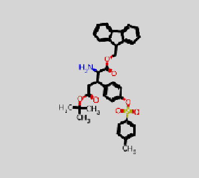 Cc1ccc(S(=O)(=O)Oc2ccc(C(CC(=O)OC(C)(C)C)C(N)C(=O)OCC3c4ccccc4-c4ccccc43)cc2)cc1